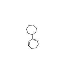 [C]1=C(C2CCCCCC2)C=CCCC1